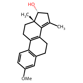 COc1ccc2c(c1)CCC1=C2CC[C@@]2(C)C1=C(C)C[C@H]2O